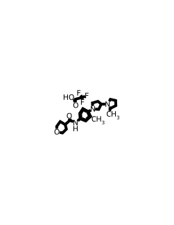 Cc1cc(NC(=O)C2CCOCC2)ccc1N1CCC(N2CCCC2C)C1.O=C(O)C(F)(F)F